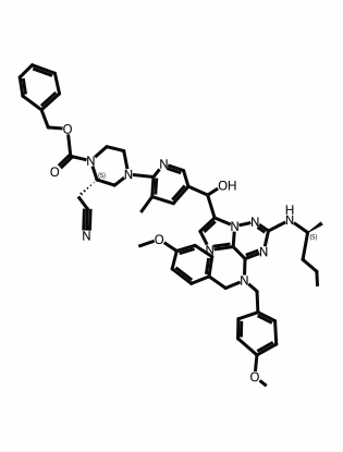 CCC[C@H](C)Nc1nc(N(Cc2ccc(OC)cc2)Cc2ccc(OC)cc2)c2ncc(C(O)c3cnc(N4CCN(C(=O)OCc5ccccc5)[C@@H](CC#N)C4)c(C)c3)n2n1